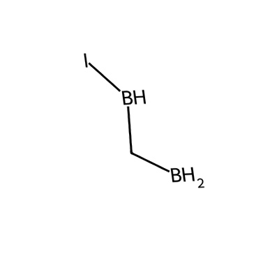 BCBI